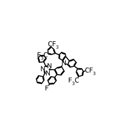 Fc1ccc(-c2ccc(-n3c4cc(-c5cc(C(F)(F)F)cc(C(F)(F)F)c5)ccc4c4ccc(-c5cc(C(F)(F)F)cc(C(F)(F)F)c5)cc43)cc2-c2nc(-c3ccccc3)nc(-c3ccccc3)n2)cc1